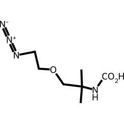 CC(C)(COCCN=[N+]=[N-])NC(=O)O